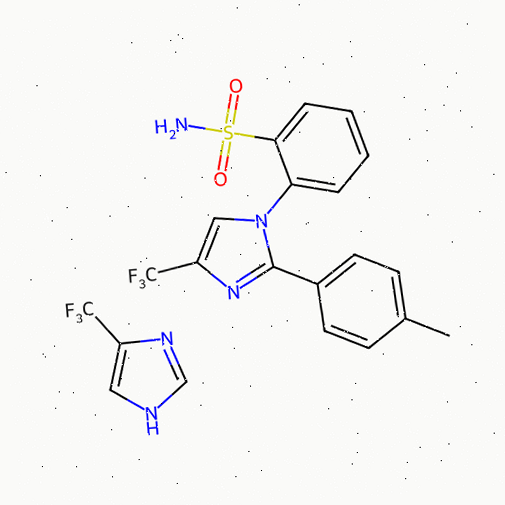 Cc1ccc(-c2nc(C(F)(F)F)cn2-c2ccccc2S(N)(=O)=O)cc1.FC(F)(F)c1c[nH]cn1